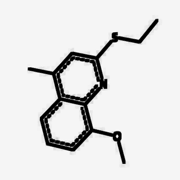 CCSc1cc(C)c2cccc(OC)c2n1